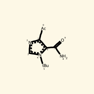 CC(=O)c1ncn(C(C)(C)C)c1C(N)=O